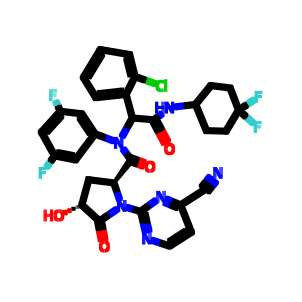 N#Cc1ccnc(N2C(=O)[C@H](O)C[C@H]2C(=O)N(c2cc(F)cc(F)c2)C(C(=O)NC2CCC(F)(F)CC2)c2ccccc2Cl)n1